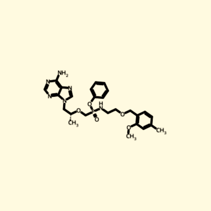 COc1cc(C)ccc1COCCNP(=O)(CO[C@H](C)Cn1cnc2c(N)ncnc21)Oc1ccccc1